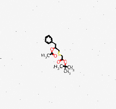 CC(=O)OC(CSCC(=O)OC(C)(C)C)Cc1ccccc1